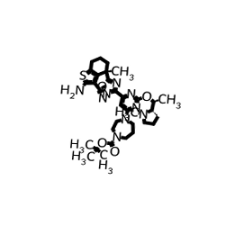 C[C@H](Oc1nc(-c2noc([C@@]3(C)CCCc4sc(N)c(C#N)c43)n2)cc(N2CCCN(C(=O)OC(C)(C)C)CC2)n1)[C@@H]1CCCN1C